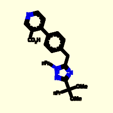 CCCn1nc(C(CCC)(OC)OC)nc1Cc1ccc(-c2ccncc2C(=O)O)cc1